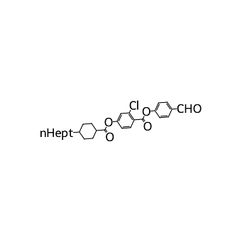 CCCCCCCC1CCC(C(=O)Oc2ccc(C(=O)Oc3ccc(C=O)cc3)c(Cl)c2)CC1